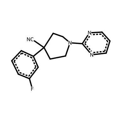 N#CC1(c2cccc(F)c2)CCN(c2ncccn2)CC1